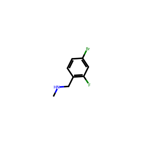 CNCc1ccc(Br)cc1F